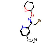 O=C(O)c1ccnc(/C(CBr)=N/OC2CCCCO2)c1